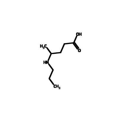 CCCNC(C)CCC(=O)O